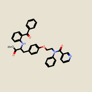 COC(=O)C(Cc1ccc(OCCN(C(=O)c2cccnc2)c2ccccc2)cc1)Nc1ccccc1C(=O)c1ccccc1